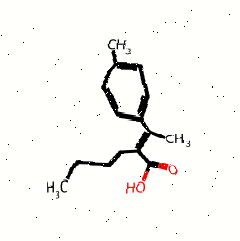 CCCC/C(C(=O)O)=C(/C)c1ccc(C)cc1